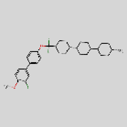 CC1CCC(C2CCC(C3CCC(C(F)(F)Oc4ccc(-c5ccc(OC(F)(F)F)c(F)c5)cc4)CC3)CC2)CC1